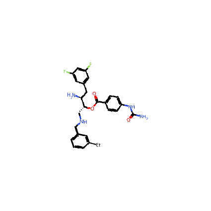 CCc1cccc(CNC[C@@H](OC(=O)c2ccc(NC(N)=O)cc2)[C@@H](N)Cc2cc(F)cc(F)c2)c1